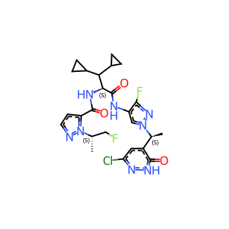 C[C@@H](c1cc(Cl)n[nH]c1=O)n1cc(NC(=O)[C@@H](NC(=O)c2ccnn2[C@@H](C)CF)C(C2CC2)C2CC2)c(F)n1